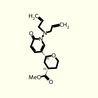 C=CCN(CC=C)n1cc([C@H]2C[C@@H](C(=O)OC)CCO2)ccc1=O